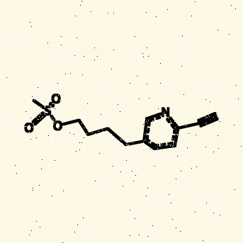 C#Cc1ccc(CCCCOS(C)(=O)=O)cn1